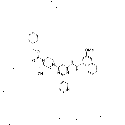 COc1cc(NC(=O)c2cc(N3CCN(C(=O)OCc4ccccc4)[C@@H](CC#N)C3)nc(-c3cccnc3)n2)c2ccccc2c1